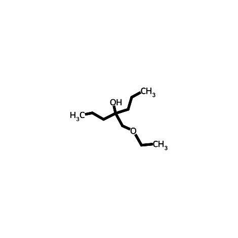 CCCC(O)(CCC)COCC